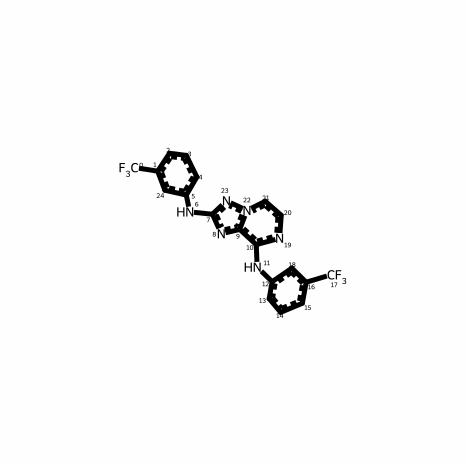 FC(F)(F)c1cccc(Nc2nc3c(Nc4cccc(C(F)(F)F)c4)nccn3n2)c1